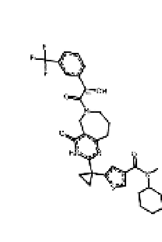 CN(C(=O)c1csc(C2(c3nc4c(c(=O)[nH]3)CN(C(=O)[C@H](O)c3cccc(C(F)(F)F)c3)CCC4)CC2)c1)C1CCCCC1